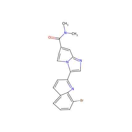 CN(C)C(=O)c1ccn2c(-c3ccc4cccc(Br)c4n3)cnc2c1